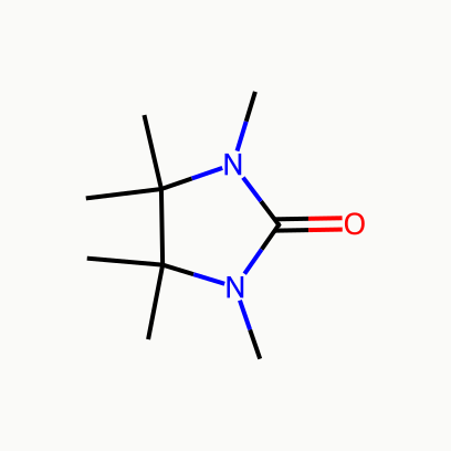 CN1C(=O)N(C)C(C)(C)C1(C)C